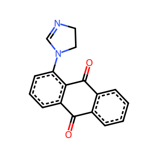 O=C1c2ccccc2C(=O)c2c1cccc2N1C=NCC1